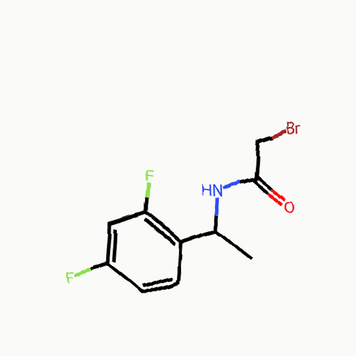 CC(NC(=O)CBr)c1ccc(F)cc1F